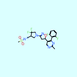 Cc1ncc(C2CC(N3CC(C#[N+]S(C)(=O)=O)C(F)(F)C3)=NO2)c(-c2c(F)cccc2F)n1